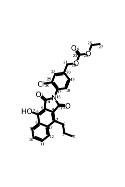 CCCc1c2c(c(O)c3ccccc13)C(=O)N(c1ccc(COC(=O)OCC)cc1Cl)C2=O